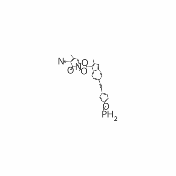 Cc1cc2ccc(C#Cc3ccc(OCP)cc3)ccc-2c1C(=O)Oc1cc(C)c(C#N)c(=O)n1C